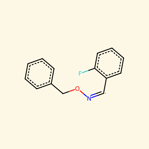 Fc1ccccc1/[C]=N\OCc1ccccc1